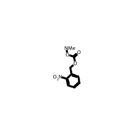 CNOC(=O)OCc1ccccc1[N+](=O)[O-]